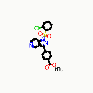 CC(C)(C)OC(=O)c1ccc(-c2nn(S(=O)(=O)c3ccccc3Cl)c3ccncc23)cc1